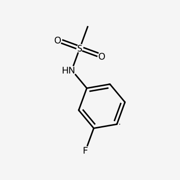 CS(=O)(=O)Nc1cc[c]c(F)c1